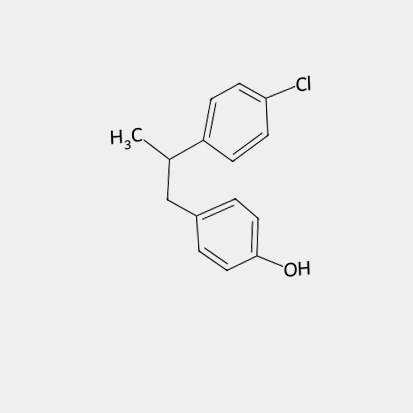 CC(Cc1ccc(O)cc1)c1ccc(Cl)cc1